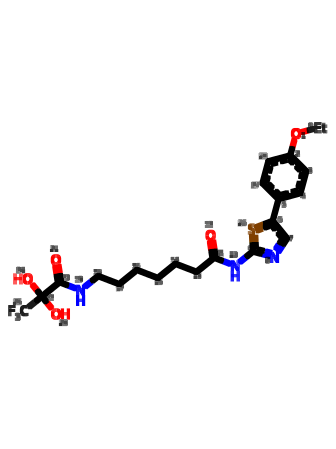 CCOc1ccc(-c2cnc(NC(=O)CCCCCCNC(=O)C(O)(O)C(F)(F)F)s2)cc1